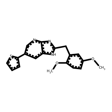 COc1ccc(OC)c(Cc2nc3ncc(-c4cccs4)cc3[nH]2)c1